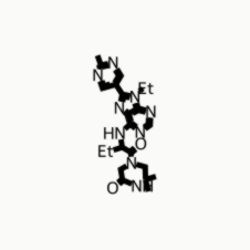 CCC(Nc1ncnc2c1nc(-c1cnc(C)nc1)n2CC)C(=O)N1CC(=O)NC(C)(C)C1